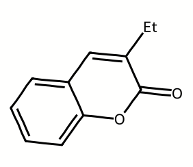 CCc1cc2ccccc2oc1=O